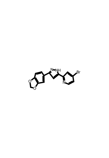 Brc1ccnc(-c2cc(-c3ccc4c(c3)OCO4)n[nH]2)c1